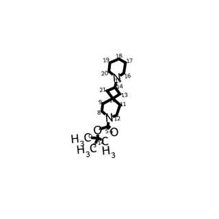 CC(C)(C)OC(=O)N1CCC2(CC1)CC(N1CCCCC1)C2